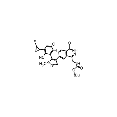 Cn1ncc(-c2ccc3c(=O)[nH]nc(CNC(=O)OC(C)(C)C)c3c2)c1-c1c(F)c(Cl)cc(C2CC2F)c1C#N